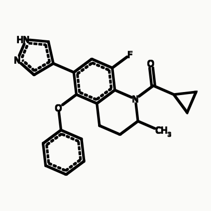 CC1CCc2c(Oc3ccccc3)c(-c3cn[nH]c3)cc(F)c2N1C(=O)C1CC1